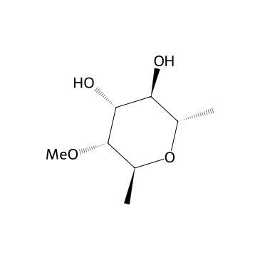 CO[C@@H]1[C@H](O)[C@@H](O)[C@H](C)O[C@H]1C